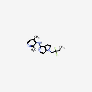 CCC(F)(F)Cn1ccc2c(Nc3c(C)ccnc3C)nccc21